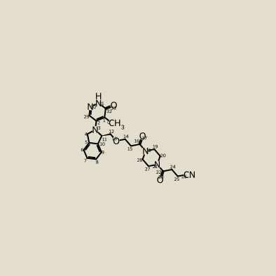 Cc1c(N2Cc3ccccc3[C@@H]2COCCC(=O)N2CCN(C(=O)CCC#N)CC2)cn[nH]c1=O